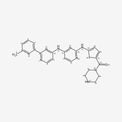 Cc1cccc(-c2nccc(Nc3ccnc(Nc4ccc(C(=O)N5CCNCC5)s4)n3)n2)n1